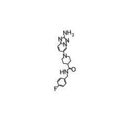 Nc1nc2ccc(N3CCC(C(=O)NCc4ccc(F)cc4)CC3)cn2n1